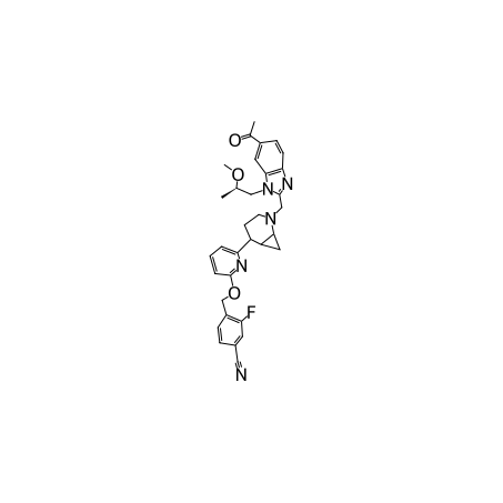 CO[C@H](C)Cn1c(CN2CCC(c3cccc(OCc4ccc(C#N)cc4F)n3)C3CC32)nc2ccc(C(C)=O)cc21